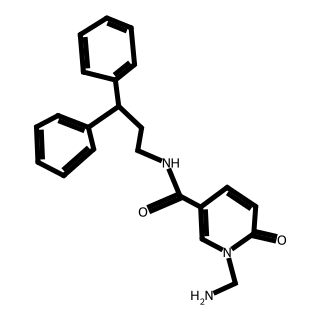 NCn1cc(C(=O)NCCC(c2ccccc2)c2ccccc2)ccc1=O